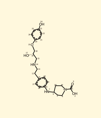 O=C(O)N1CCC(Nc2ccc(CCNC[C@H](O)COc3ccc(O)cc3)cc2)CC1